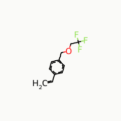 C=Cc1ccc(COCC(F)(F)F)cc1